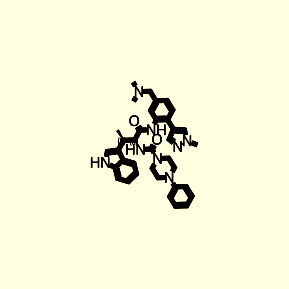 C[C@H](c1c[nH]c2ccccc12)[C@@H](NC(=O)N1CCN(c2ccccc2)CC1)C(=O)Nc1cc(CN(C)C)ccc1-c1cnn(C)c1